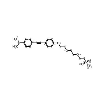 CN(C)c1ccc(C#Cc2ccc(OCCOCCOCCS(=O)(=O)C(F)(F)F)cc2)cc1